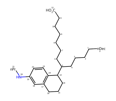 CCCCCCCCCCCCCCC(CCCCCCC(=O)O)C1CCCc2cc(NCCC)ccc21